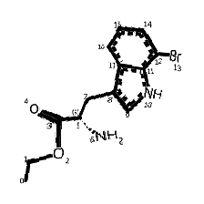 CCOC(=O)[C@@H](N)Cc1c[nH]c2c(Br)cccc12